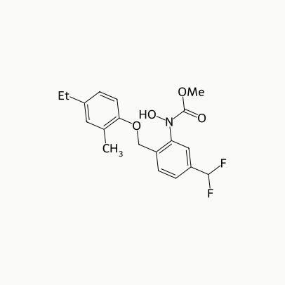 CCc1ccc(OCc2ccc(C(F)F)cc2N(O)C(=O)OC)c(C)c1